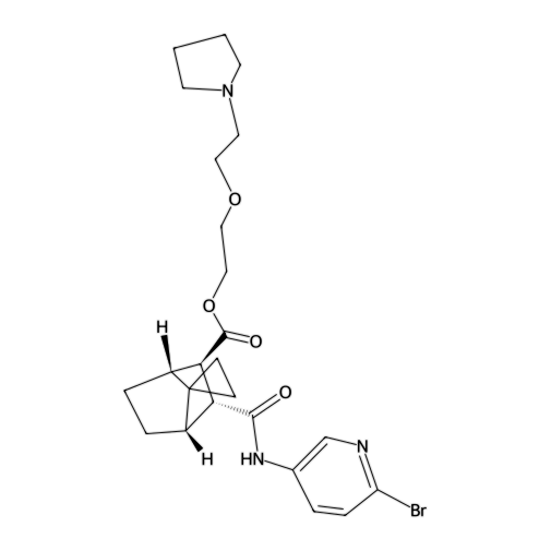 O=C(OCCOCCN1CCCC1)[C@H]1[C@H](C(=O)Nc2ccc(Br)nc2)[C@@H]2CC[C@H]1C21CC1